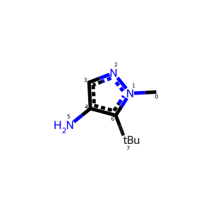 Cn1ncc(N)c1C(C)(C)C